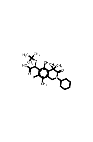 Cc1c(I)c([C@H](OC(C)(C)C)C(=O)O)c(C)c2c1CN(C1CCCCC1)C(=O)C2(C)C